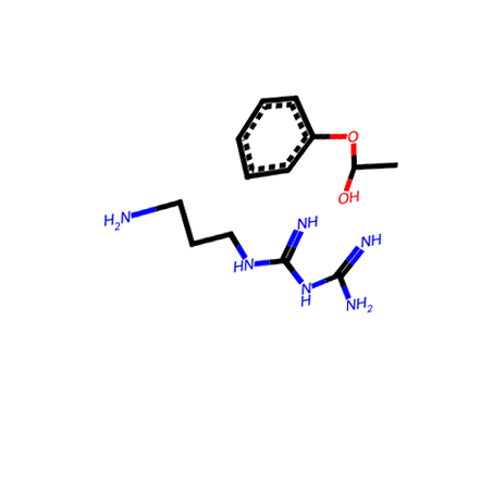 CC(O)Oc1ccccc1.N=C(N)NC(=N)NCCCN